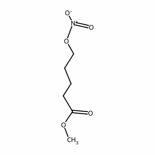 COC(=O)CCCCO[N+](=O)[O-]